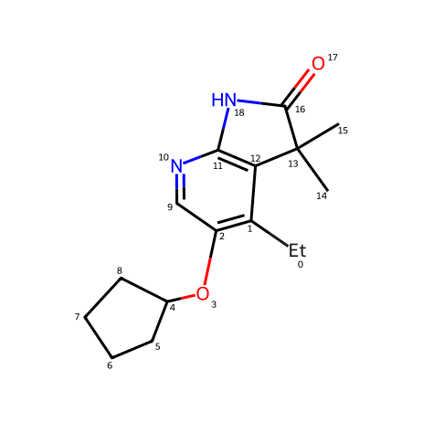 CCc1c(OC2CCCC2)cnc2c1C(C)(C)C(=O)N2